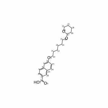 O=C(O)c1ccc2cc(OCCCCCCOC3CCCCO3)ccc2c1